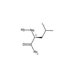 CC(C)C[C@H](NS)C(=O)P